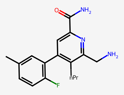 CCCc1c(-c2cc(C)ccc2F)cc(C(N)=O)nc1CN